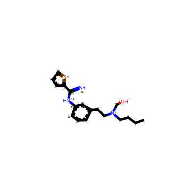 CCCCN(CO)CCc1cccc(NC(=N)c2cccs2)c1